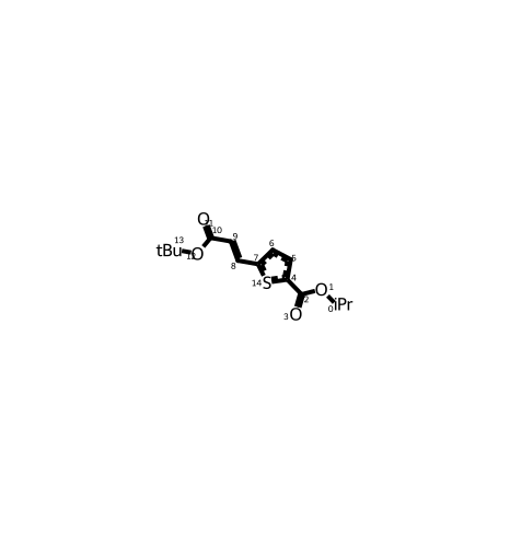 CC(C)OC(=O)c1ccc(C=CC(=O)OC(C)(C)C)s1